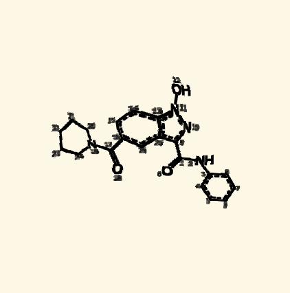 O=C(Nc1ccccc1)c1nn(O)c2ccc(C(=O)N3CCCCC3)cc12